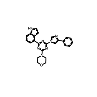 c1ccc(-c2cn(-c3nc(-c4cccc5[nH]ccc45)nc(N4CCOCC4)n3)cn2)cc1